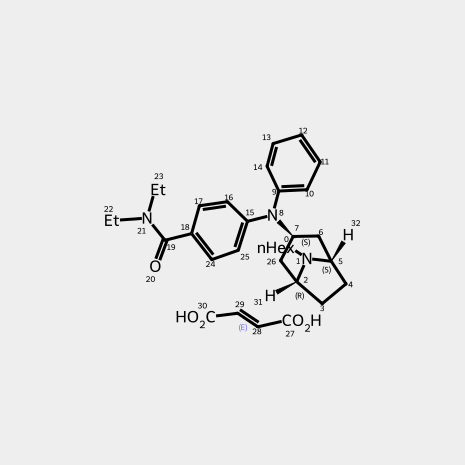 CCCCCCN1[C@@H]2CC[C@H]1C[C@H](N(c1ccccc1)c1ccc(C(=O)N(CC)CC)cc1)C2.O=C(O)/C=C/C(=O)O